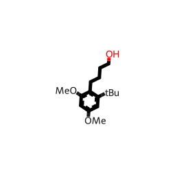 COc1cc(OC)c(CCCCO)c(C(C)(C)C)c1